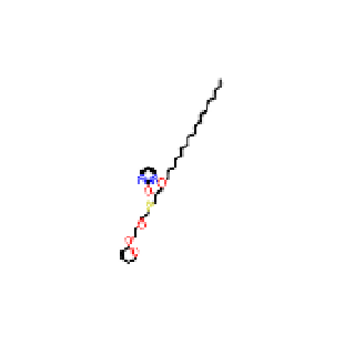 CCCCCCCCCCCCCCCCCCOCC(CSCCOCCOC1CCCCO1)Oc1ncccn1